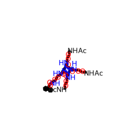 CC(=O)NCCOCCOCCNC(=O)CN1CCN(CC(=O)NCCOCCOCCNC(C)=O)CCN(CC(=O)NCCOCCOCCNC(=O)OCC2c3ccccc3-c3ccccc32)CCN(CC(=O)NCCOCCOCCNC(C)=O)CC1